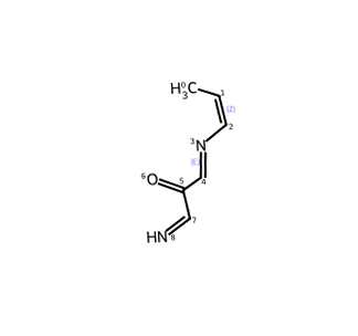 C/C=C\N=C\C(=O)C=N